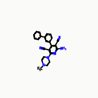 CN1CCN(c2nc(N)c(C#N)c(-c3cccc(-c4ccccc4)c3)c2C#N)CC1